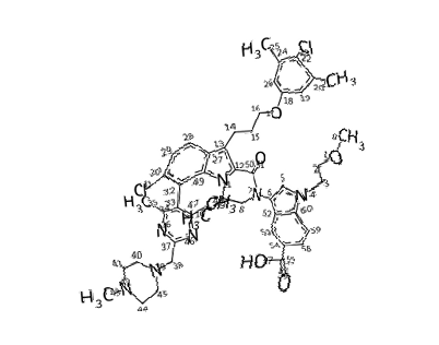 COCCn1cc(N2C[C@@H](C)n3c(c(CCCOc4cc(C)c(Cl)c(C)c4)c4ccc(Cl)c(-c5c(C)nc(CN6CCN(C)CC6)nc5C)c43)C2=O)c2cc(C(=O)O)ccc21